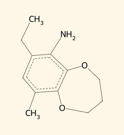 CCc1cc(C)c2c(c1N)OCCCO2